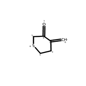 [CH]=C1CCSCC1=O